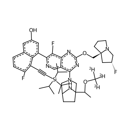 [2H]C([2H])([2H])OC(C)C12CCC(CN(c3nc(OC[C@@]45CCCN4C[C@H](F)C5)nc4c(F)c(-c5cc(O)cc6ccc(F)c(C#C[Si](C(C)C)(C(C)C)C(C)C)c56)ncc34)C1)N2